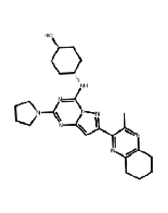 Cc1nc2c(nc1-c1cc3nc(N4CCCC4)nc(N[C@H]4CC[C@H](O)CC4)n3n1)CCCC2